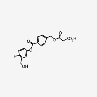 O=C(CS(=O)(=O)O)OCc1ccc(C(=O)Oc2ccc(I)c(CO)c2)cc1